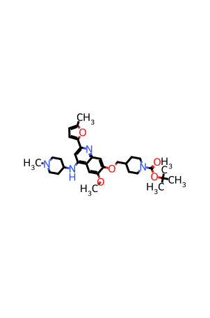 COc1cc2c(NC3CCN(C)CC3)cc(-c3ccc(C)o3)nc2cc1OCC1CCN(C(=O)OC(C)(C)C)CC1